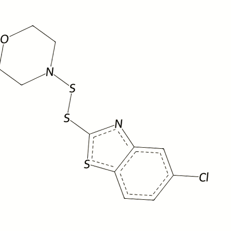 Clc1ccc2sc(SSN3CCOCC3)nc2c1